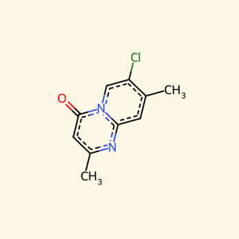 Cc1cc(=O)n2cc(Cl)c(C)cc2n1